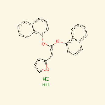 Cl.Cl.[CH](c1ccco1)=[Ti]([O]c1cccc2ccccc12)[O]c1cccc2ccccc12